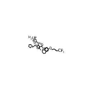 CS(=O)(=O)CC(=O)Nc1c2c(nn1CCN1CCCC1)C[C@]1(CCCc3cc(OCCCC(F)(F)F)ccc31)NC2=O